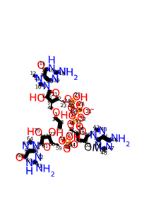 C=CCOC[C@H]1[C@@H](O)[C@H](n2c[n+](C)c3c(=O)[nH]c(N)nc32)O[C@@H]1COP(=O)(O)OP(=O)([O-])OP(=O)(O)OC[C@H]1O[C@@H](n2cnc3c(N)ncnc32)[C@H](OC)[C@@H]1OP(=O)(O)OC[C@H]1O[C@@H](n2cnc3c(=O)[nH]c(N)nc32)[C@H](O)[C@@H]1O